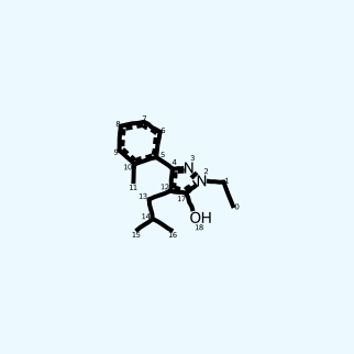 CCn1nc(-c2ccccc2C)c(CC(C)C)c1O